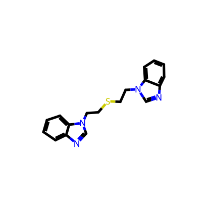 c1ccc2c(c1)ncn2CCSCCn1cnc2ccccc21